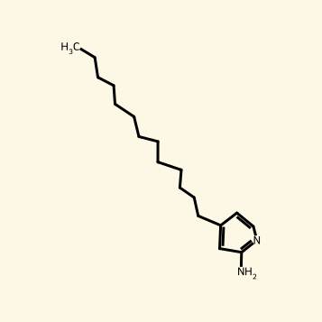 CCCCCCCCCCCCCc1ccnc(N)c1